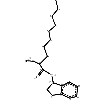 CCCCCCCCCCCCCCCCCCC(CCCCCC)C(=O)ON1CCc2ccccc21